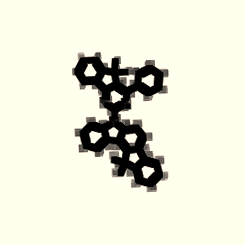 CC1(C)c2ccccc2-c2nc(-n3c4ccccc4c4c5c(ccc43)-c3ccccc3C5(C)C)nc(-c3ccccc3)c21